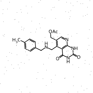 CC(=O)OCc1cnc2[nH]c(=O)[nH]c(=O)c2c1CNCc1ccc(C)cc1